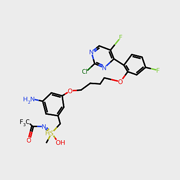 C[SH](O)(Cc1cc(N)cc(OCCCCOc2cc(F)ccc2-c2nc(Cl)ncc2F)c1)=NC(=O)C(F)(F)F